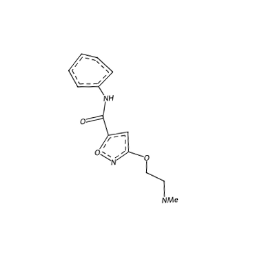 CNCCOc1cc(C(=O)Nc2ccccc2)on1